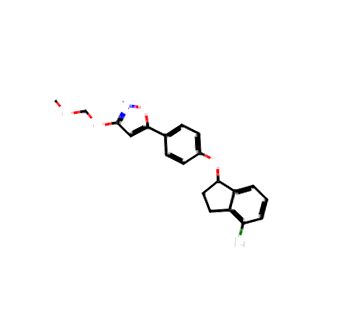 COCOc1cc(-c2ccc(OC3CCc4c(Br)cccc43)cc2)on1